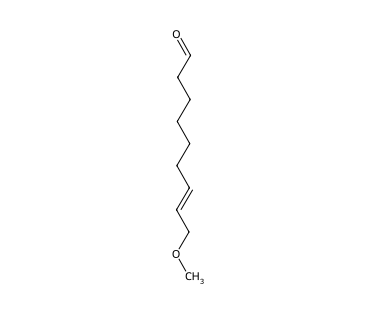 COCC=CCCCCCC=O